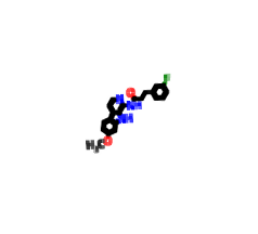 COc1ccc2c(c1)[nH]c1c(NC(=O)CCc3cccc(F)c3)nccc12